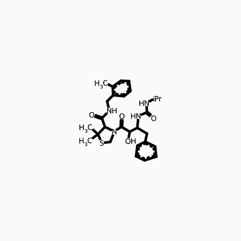 Cc1ccccc1CNC(=O)C1N(C(=O)C(O)C(Cc2ccccc2)NC(=O)NC(C)C)CSC1(C)C